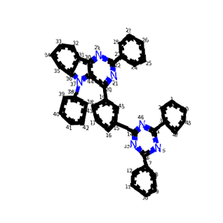 c1ccc(-c2nc(-c3ccccc3)nc(-c3cccc(-c4nc(-c5ccccc5)nc5c6ccccc6n(-c6ccccc6)c45)c3)n2)cc1